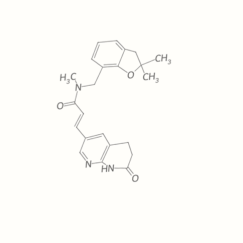 CN(Cc1cccc2c1OC(C)(C)C2)C(=O)C=Cc1cnc2c(c1)CCC(=O)N2